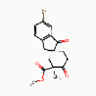 COC(=O)[C@@]1(C)C[C@]2(CCC1=O)Cc1ccc(Br)cc1C2=O